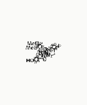 C=CCN1CC(=O)N2[C@@H](Cc3ccc(O)cc3)C(=O)N(Cc3cccc(OC)c3OC)C[C@@H]2N1C(=O)NCc1ccc(I)cc1